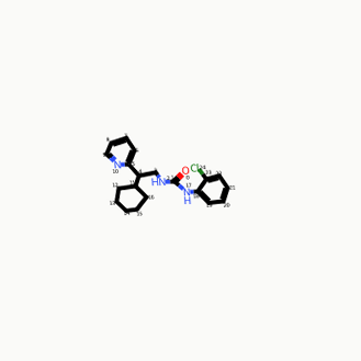 O=C(NCC(c1ccccn1)C1CCCCC1)Nc1ccccc1Cl